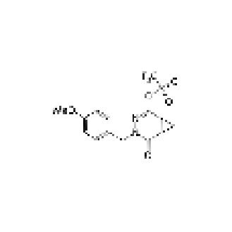 COc1ccc(CN2N=C(OS(=O)(=O)C(F)(F)F)C3CC3C2=O)cc1